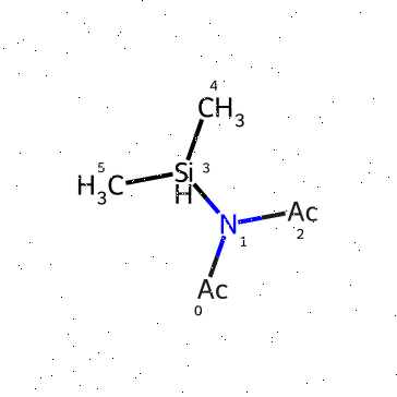 CC(=O)N(C(C)=O)[SiH](C)C